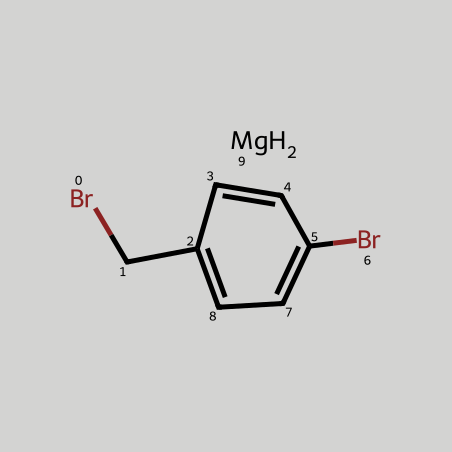 BrCc1ccc(Br)cc1.[MgH2]